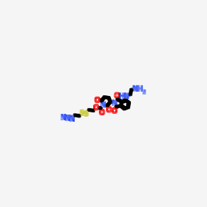 [N-]=[N+]=NCCSSCCOC(=O)N1C(=O)CCC(N2C(=O)c3cccc(NCCN)c3C2=O)C1=O